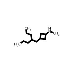 CCCC(CCC)CC1CC(NC)C1